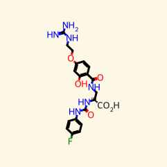 N=C(N)NCCOc1ccc(C(=O)NC[C@H](NC(=O)Nc2ccc(F)cc2)C(=O)O)c(O)c1